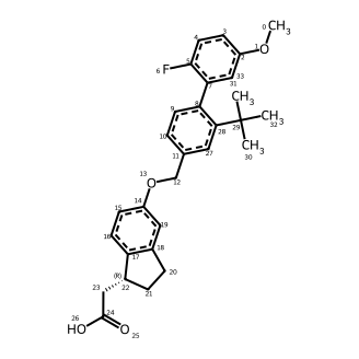 COc1ccc(F)c(-c2ccc(COc3ccc4c(c3)CC[C@@H]4CC(=O)O)cc2C(C)(C)C)c1